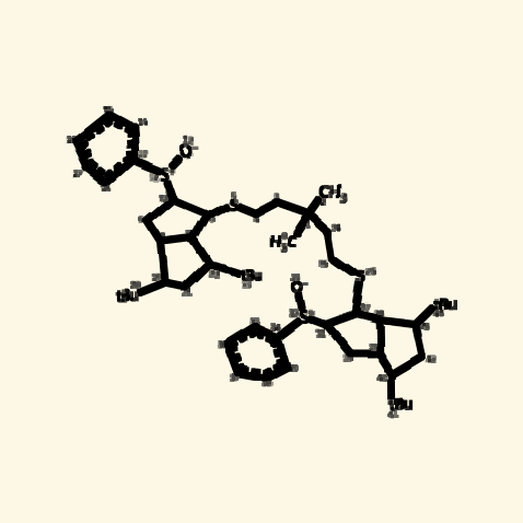 CC(C)(CCSC1C2C(CC1[S+]([O-])c1ccccc1)C(C(C)(C)C)CC2C(C)(C)C)CCSC1C2C(CC1[S+]([O-])c1ccccc1)C(C(C)(C)C)CC2C(C)(C)C